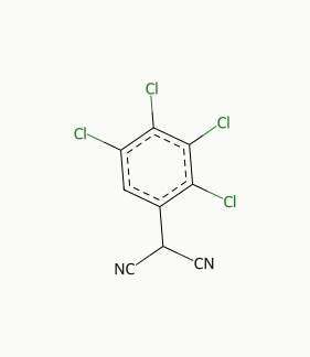 N#CC(C#N)c1cc(Cl)c(Cl)c(Cl)c1Cl